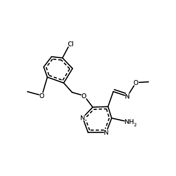 CON=Cc1c(N)ncnc1OCc1cc(Cl)ccc1OC